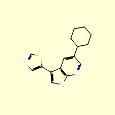 c1ncc(-c2c[nH]c3ncc(C4CCCCC4)cc23)s1